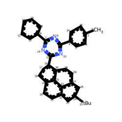 Cc1ccc(-c2nc(-c3ccccc3)nc(-c3ccc4ccc5cc(C(C)(C)C)cc6ccc3c4c56)n2)cc1